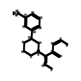 C=C(/C=C\C)/C(=N\C)N1CCCC(c2cccc(N)c2)C1